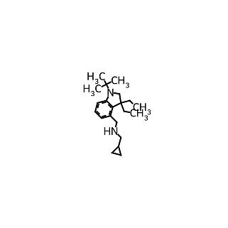 CCC1(CC)CN(C(C)(C)C)c2cccc(CNCC3CC3)c21